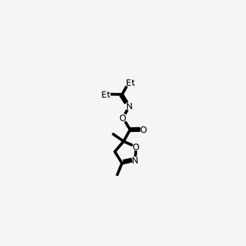 CCC(CC)=NOC(=O)C1(C)CC(C)=NO1